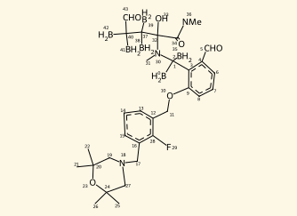 BC(B)(c1c(C=O)cccc1OCc1cccc(CN2CC(C)(C)OC(C)(C)C2)c1F)N(C)C(O)(C(=O)NC)C(B)(B)C(B)(B)C=O